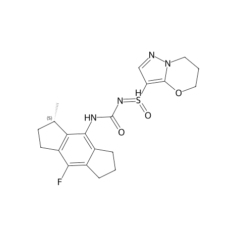 C[C@H]1CCc2c(F)c3c(c(NC(=O)N=[SH](=O)c4cnn5c4OCCC5)c21)CCC3